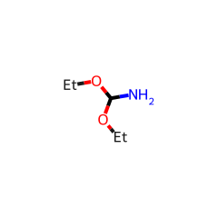 CCOC(N)OCC